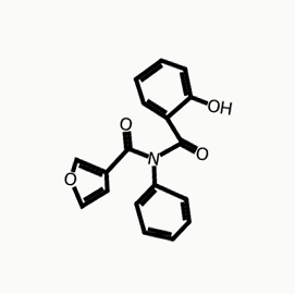 O=C(c1ccoc1)N(C(=O)c1ccccc1O)c1ccccc1